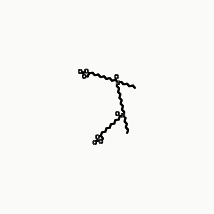 CCCCCCN(CCCCCCCCCCN(CCCCCC)C(=O)CCCCCCCCC1COC(=O)O1)C(=O)CCCCCCCCC1COC(=O)O1